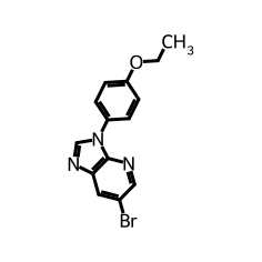 CCOc1ccc(-n2cnc3cc(Br)cnc32)cc1